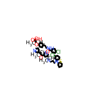 CC(C)(C(=O)c1cccnc1)c1cccnc1.CC(C)(Oc1ccc(CCNC(=O)c2ccc(Cl)cc2)cc1)C(=O)O.CN(C)CCCN1c2ccccc2Sc2ccc(Cl)cc21